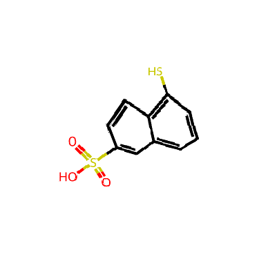 O=S(=O)(O)c1ccc2c(S)cccc2c1